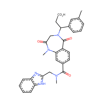 [CH2]c1cccc(C(CC(=O)O)N2CC(=O)N(C)c3cc(C(=O)N(C)Cc4nc5ccccc5[nH]4)ccc3C2=O)c1